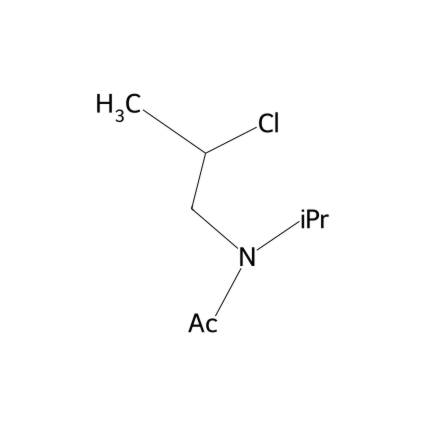 CC(=O)N(CC(C)Cl)C(C)C